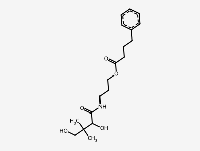 CC(C)(CO)C(O)C(=O)NCCCOC(=O)CCCc1ccccc1